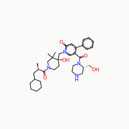 C[C@H](CC1CCCCC1)C(=O)N1CC[C@@](O)(Cn2cc(C(=O)N3CCNC[C@H]3CO)c(-c3ccccc3)cc2=O)C(C)(C)C1